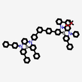 CC(C)(C)c1cc2c3c(c1)N(c1ccccc1-c1ccccc1)c1cc(-c4ccc(-c5cccc(-c6ccc(N7c8ccc(-c9ccccc9)cc8B8c9cc(-c%10ccccc%10)ccc9N(c9ccc(-c%10ccccc%10)cc9)c9cccc7c98)cc6)c5)cc4)ccc1B3c1ccc(-c3ccccc3)cc1N2c1ccccc1